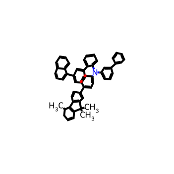 CC1CC=CC2=C1c1ccc(-c3ccc(N(c4cccc(-c5ccccc5)c4)c4ccccc4-c4cccc(-c5cccc6ccccc56)c4)cc3)cc1C2(C)C